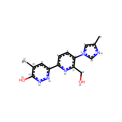 Cc1cn(-c2ccc(-c3cc(C(C)C)c(O)nn3)nc2CO)cn1